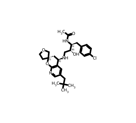 CC(=O)N[C@@H](Cc1ccc(Cl)cc1)[C@H](O)CN[C@@H]1C[C@@]2(CCOC2)Oc2ncc(CC(C)(C)C)cc21